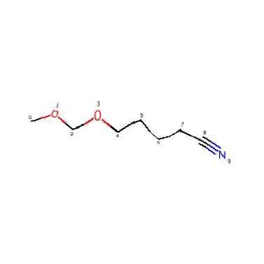 COCOCCCCC#N